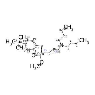 CCCCN(/C=C/C=C(\Cc1ccc(C(C)(C)C)cc1)C(=O)OC)CCCC